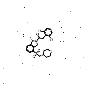 C[C@H]1c2cccc(S(=O)(=O)CC3CCOCC3)c2CN1C(=O)Cc1c(Cl)cccc1Cl